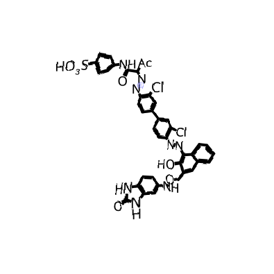 CC(=O)C(/N=N/c1ccc(-c2ccc(N=Nc3c(O)c(CONc4ccc5[nH]c(=O)[nH]c5c4)cc4ccccc34)c(Cl)c2)cc1Cl)C(=O)Nc1ccc(S(=O)(=O)O)cc1